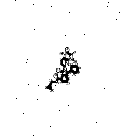 C[C@@H]1C(=O)N(C)c2ccc(N3C(=O)c4c(C(=O)CCC5CC5)cccc4C3c3ccccc3)nc2N1C